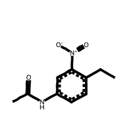 CCc1ccc(NC(C)=O)cc1[N+](=O)[O-]